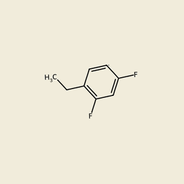 CCc1c[c]c(F)cc1F